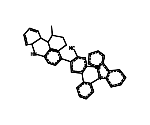 CC1CCC=CC1C1C=CC=CC1Nc1ccc(-c2cc(-c3ccccc3-n3c4ccccc4c4ccccc43)c(C#N)cc2C#N)cc1